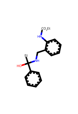 CCOC(=O)Nc1ccccc1CNC(O)(CC)c1ccccc1